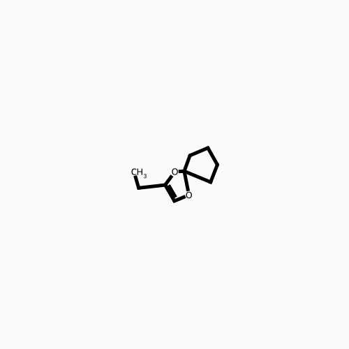 CCC1=COC2(CCCC2)O1